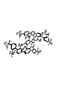 N#Cc1ccc(-c2ccc(C#N)c(-n3c4cc(-c5ccc(C(F)(F)F)cc5C(F)(F)F)ccc4c4ccc(-c5ccc(C(F)(F)F)cc5C(F)(F)F)cc43)c2)cc1-n1c2cc(-c3ccc(C(F)(F)F)cc3C(F)(F)F)ccc2c2ccc(-c3ccc(C(F)(F)F)cc3C(F)(F)F)cc21